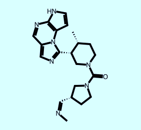 C/N=C\[C@H]1CCN(C(=O)N2CC[C@@H](C)[C@@H](c3ncc4cnc5[nH]ccc5n34)C2)C1